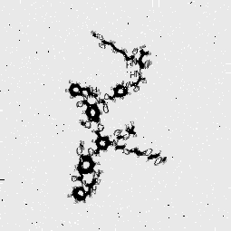 COCCOCCOCCN(C(=O)OC(C)(C)C)c1cc(COc2cc3c(cc2OC)C(=O)N2c4ccccc4C[C@H]2C=N3)cc(COc2cc3c(cc2OC)C(=O)N2c4ccccc4C[C@H]2CN3C(=O)OCc2ccc(NC(=O)[C@H](C)NC(=O)[C@@H](NC(=O)CCCCC(=O)OC)C(C)C)cc2)c1